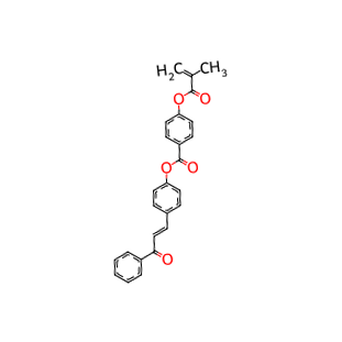 C=C(C)C(=O)Oc1ccc(C(=O)Oc2ccc(C=CC(=O)c3ccccc3)cc2)cc1